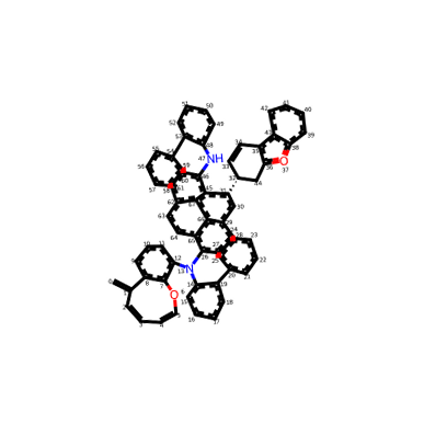 C=C1/C=C\C=C/Oc2c1cccc2N(c1ccccc1-c1ccccc1)c1ccc2cc([C@@H]3C=Cc4c(oc5ccccc45)C3)c3c(Nc4ccccc4-c4ccccc4)ccc4ccc1c2c43